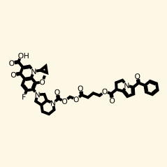 COc1c(N2CC3CCCN(C(=O)OCOC(=O)CCCOC(=O)C4CCn5c(C(=O)c6ccccc6)ccc54)C3C2)c(F)cc2c(=O)c(C(=O)O)cn(C3CC3)c12